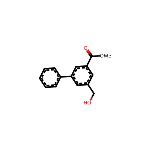 COC(=O)c1cc(CO)cc(-c2ccccc2)c1